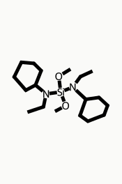 CCN(C1CCCCC1)[Si](OC)(OC)N(CC)C1CCCCC1